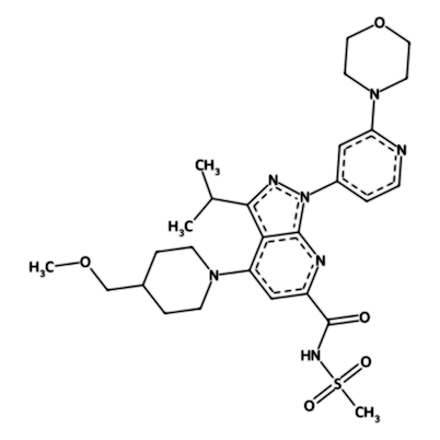 COCC1CCN(c2cc(C(=O)NS(C)(=O)=O)nc3c2c(C(C)C)nn3-c2ccnc(N3CCOCC3)c2)CC1